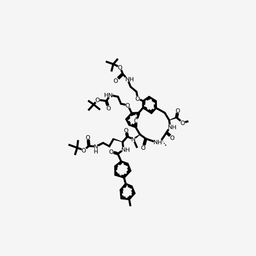 COC(=O)[C@@H]1Cc2ccc(OCCNC(=O)OC(C)(C)C)c(c2)-c2cc(ccc2OCCNC(=O)OC(C)(C)C)[C@H](N(C)C(=O)[C@H](CCCNC(=O)OC(C)(C)C)NC(=O)c2ccc(-c3ccc(C)cc3)cc2)C(=O)N[C@@H](C)C(=O)N1